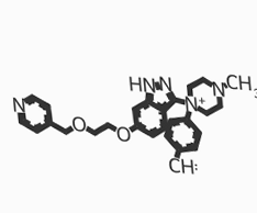 [CH]c1ccc([N+]2(c3n[nH]c4cc(OCCOCc5ccncc5)ccc34)CCN(C)CC2)cc1